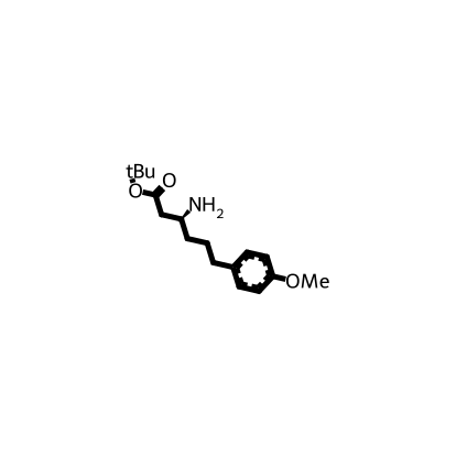 COc1ccc(CCC[C@H](N)CC(=O)OC(C)(C)C)cc1